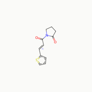 O=C(/C=C/c1cccs1)N1CCCC1=O